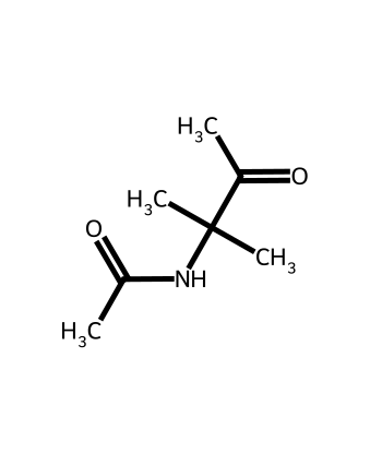 CC(=O)NC(C)(C)C(C)=O